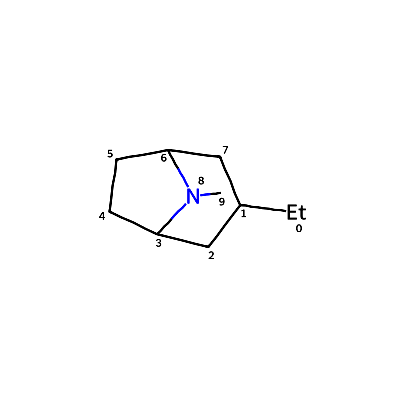 CCC1CC2CCC(C1)N2C